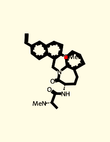 C=Cc1ccc2c(CN3C(=O)[C@@H](NC(=O)[C@H](C)NC)CCc4ccccc43)c(OC)ccc2c1